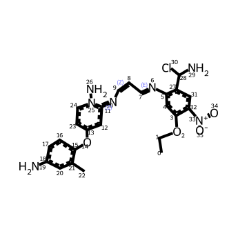 CCOc1cc(/N=C/C=C\N=c2\cc(Oc3ccc(N)cc3C)ccn2N)c(C(N)Cl)cc1[N+](=O)[O-]